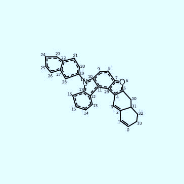 C1=CC2=Cc3c(oc4ccc5c(c6ccccc6n5-c5ccc6ccccc6c5)c34)CC2CC1